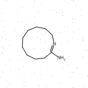 N/C1=N/CCCCCCCCC1